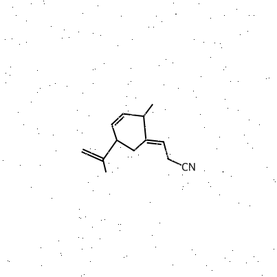 C=C(C)C1C=CC(C)C(=CCC#N)C1